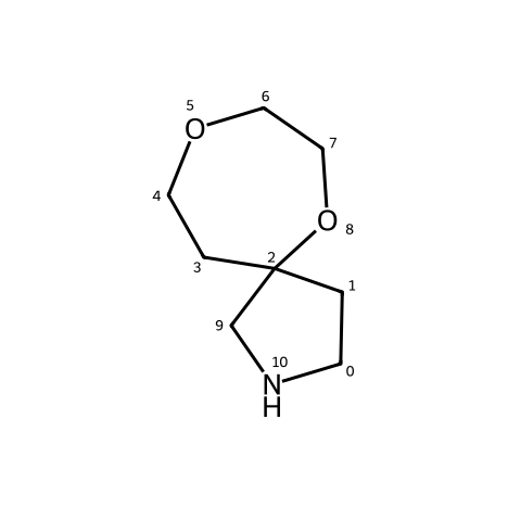 C1CC2(CCOCCO2)CN1